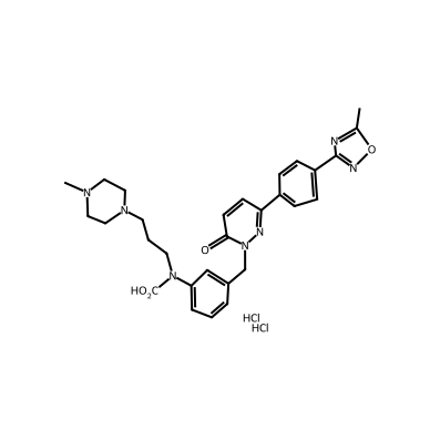 Cc1nc(-c2ccc(-c3ccc(=O)n(Cc4cccc(N(CCCN5CCN(C)CC5)C(=O)O)c4)n3)cc2)no1.Cl.Cl